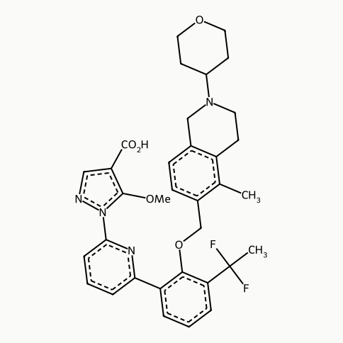 COc1c(C(=O)O)cnn1-c1cccc(-c2cccc(C(C)(F)F)c2OCc2ccc3c(c2C)CCN(C2CCOCC2)C3)n1